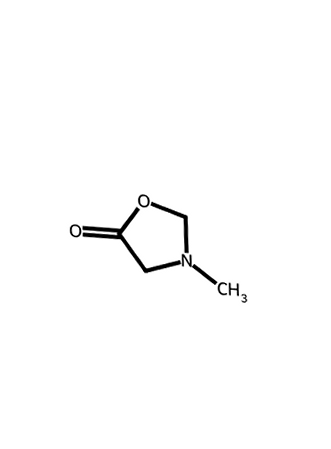 CN1COC(=O)C1